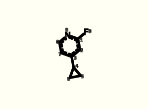 Fc1cc(C2CC2)ccn1